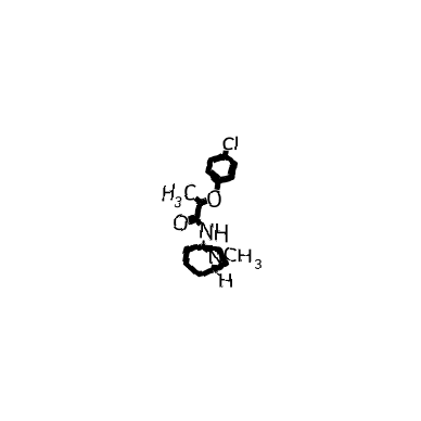 CC(Oc1ccc(Cl)cc1)C(=O)N[C@]12CCC[C@H](CC1)N2C